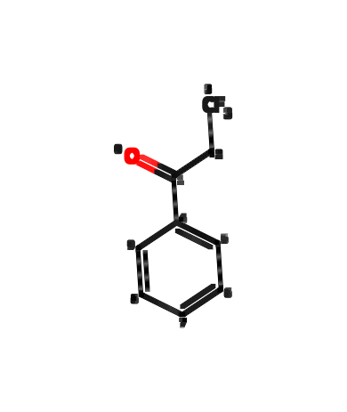 O=C([CH]C(F)(F)F)c1ccccc1